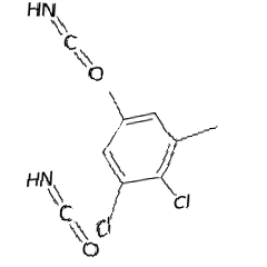 Cc1cc(C)c(Cl)c(Cl)c1.N=C=O.N=C=O